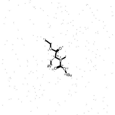 CC(C)C[C@H](C(=O)OCI)N(C)C(=O)OC(C)(C)C